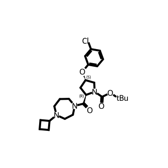 CC(C)(C)OC(=O)N1C[C@@H](Oc2cccc(Cl)c2)C[C@@H]1C(=O)N1CCCN(C2CCC2)CC1